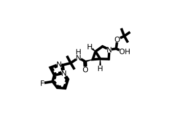 CC(C)(C)OC(O)N1C[C@@H]2[C@H](C1)[C@H]2C(=O)NC(C)(C)c1ncc2c(F)cccn12